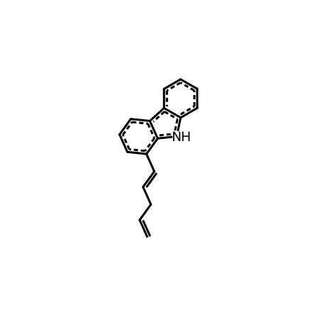 C=CCC=Cc1cccc2c1[nH]c1ccccc12